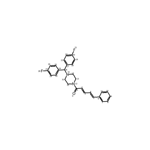 O=C(/C=C/C=C/c1ccccc1)N1CCN(C(c2ccc(F)cc2)c2ccc(F)cc2)CC1